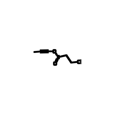 CC#COS(=O)CCCl